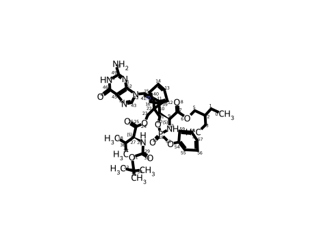 CCC(CC)COC(=O)[C@H](Cc1ccccc1)NP(=O)(OCC1(COC(=O)[C@@H](NC(=O)OC(C)(C)C)C(C)C)C/C1=C/n1cnc2c(=O)[nH]c(N)nc21)Oc1ccccc1